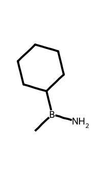 CB(N)C1CCCCC1